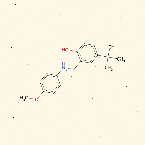 COc1ccc(NCc2cc(C(C)(C)C)ccc2O)cc1